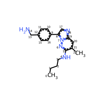 CCCCNc1nn2c(-c3ccc(CN)cc3)cnc2cc1C